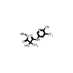 CCCCOC(=O)C(C)(O)C(=O)Nc1cnc(C#N)c(C(F)(F)F)c1